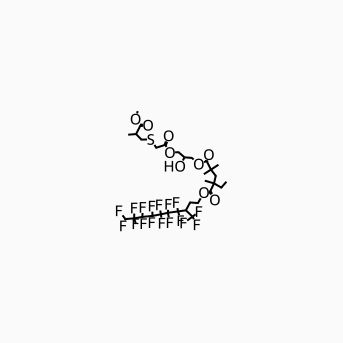 CCC(C)(CC(C)(C)C(=O)OCC(O)COC(=O)CSCC(C)C(=O)OC)C(=O)OCCC(C(F)(F)F)C(F)(F)C(F)(F)C(F)(F)C(F)(F)C(F)(F)C(F)(F)C(F)F